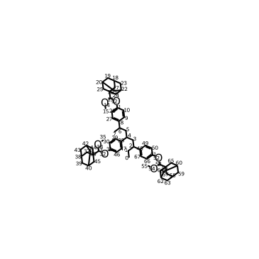 CCC(CC(CC(C)c1ccc(OC(OC)C23CC4CC(CC(C4)C2)C3)cc1)c1ccc(OC(OC)C23CC4CC(CC(C4)C2)C3)cc1)c1ccc(OC(OC)C23CC4CC(CC(C4)C2)C3)cc1